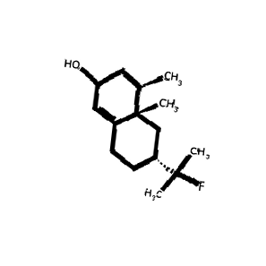 C[C@@H]1CC(O)C=C2CC[C@@H](C(C)(C)F)C[C@]21C